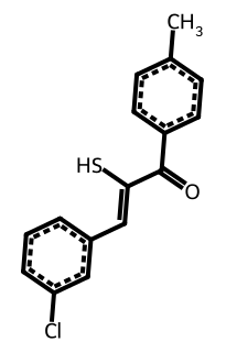 Cc1ccc(C(=O)C(S)=Cc2cccc(Cl)c2)cc1